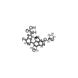 N#Cc1c(NC(=O)O)sc2c(F)cnc(-c3c4c(c5cnc(OC[C@H]6CCCO6)nc5c3F)COC4)c12